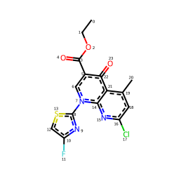 CCOC(=O)c1cn(-c2nc(F)cs2)c2nc(Cl)cc(C)c2c1=O